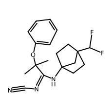 CC(C)(Oc1ccccc1)/C(=N\C#N)NC12CCC(C(F)F)(CC1)C2